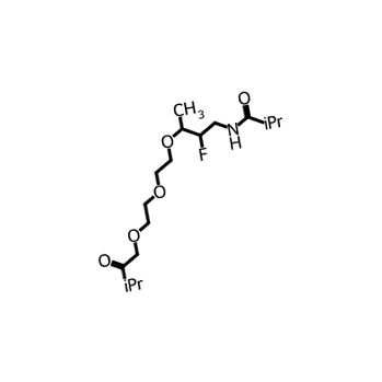 CC(C)C(=O)COCCOCCOC(C)C(F)CNC(=O)C(C)C